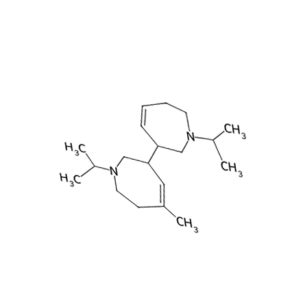 CC1=CC(C2C=CCCN(C(C)C)C2)CN(C(C)C)CC1